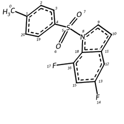 Cc1ccc(S(=O)(=O)n2ccc3cc(F)cc(F)c32)cc1